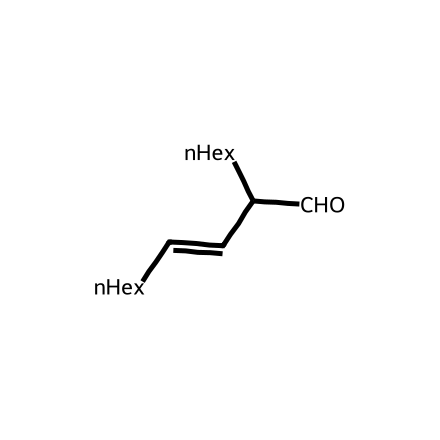 CCCCCCC=CC(C=O)CCCCCC